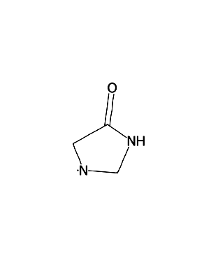 O=C1C[N]CN1